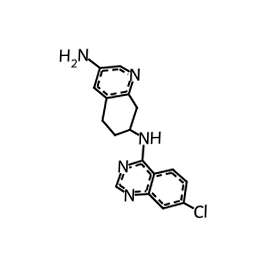 Nc1cnc2c(c1)CCC(Nc1ncnc3cc(Cl)ccc13)C2